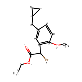 CCOC(=O)C(Br)c1cc(CC2CC2)ccc1OC